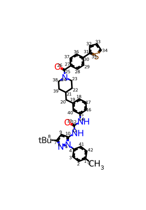 Cc1ccc(-n2nc(C(C)(C)C)cc2NC(=O)Nc2cccc(CC3CCN(C(=O)c4ccc(-c5cccs5)cc4)CC3)c2)cc1